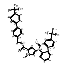 Cn1cc(N(C=O)c2ccccc2-c2ccc(C(F)(F)F)cc2)cc1C(=O)NCc1ccc(-c2ccc(C(F)(F)F)cc2)cc1